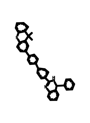 CC1(C)c2ccccc2Sc2ccc(-c3ccc(-c4ccc(C5=Nc6ccccc6C(c6ccccc6)N5)cc4)cc3)cc21